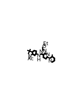 CCOCc1nc(Nc2ccc3c(c2)N(C(C)=O)CC3(C)C)c2ccc(-c3ncccc3C)nc2n1